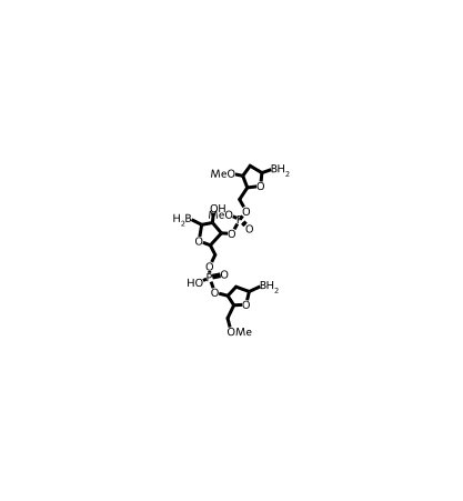 BC1CC(OC)C(COP(=O)(OC)OC2C(COP(=O)(O)OC3CC(B)OC3COC)OC(B)C2O)O1